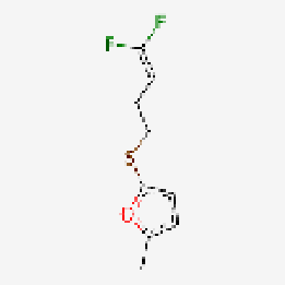 Cc1ccc(SCCC=C(F)F)o1